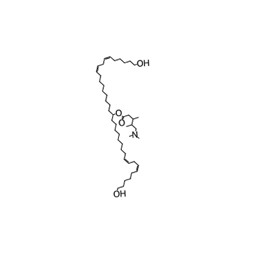 CC(CC(=O)OC(CCCCCCCC/C=C\C/C=C\CCCCCO)CCCCCCCC/C=C\C/C=C\CCCCCO)C(C)CN(C)C